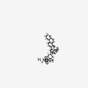 NS(=O)(=O)Nc1ccc(-n2cc(-c3ccc4c(ccc5ccccc54)c3)c(C(F)(F)F)n2)cc1